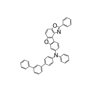 c1ccc(-c2cccc(-c3ccc(N(c4ccccc4)c4ccc5c(c4)oc4ccc6oc(-c7ccccc7)nc6c45)cc3)c2)cc1